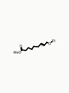 CCOC/C=C/CCCCCC(=O)OC